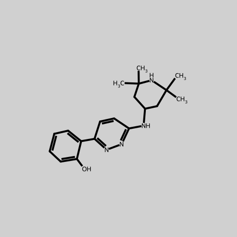 CC1(C)CC(Nc2ccc(-c3ccccc3O)nn2)CC(C)(C)N1